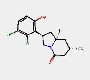 N#C[C@@H]1CC(=O)N2C[C@@H](c3c(O)ccc(Cl)c3Cl)C[C@H]2C1